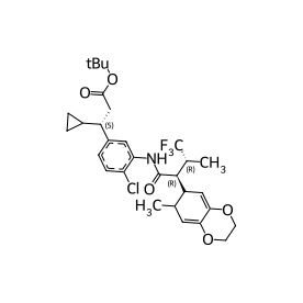 CC1C=C2OCCOC2=CC1[C@@H](C(=O)Nc1cc([C@@H](CC(=O)OC(C)(C)C)C2CC2)ccc1Cl)[C@@H](C)C(F)(F)F